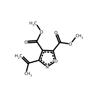 C=C(C)c1noc(C(=O)OC)c1C(=O)OC